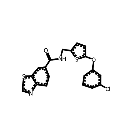 O=C(NCc1ccc(Oc2cccc(Cl)c2)s1)c1ccc2ncsc2c1